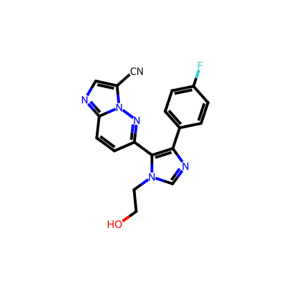 N#Cc1cnc2ccc(-c3c(-c4ccc(F)cc4)ncn3CCO)nn12